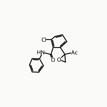 CC(=O)C1(c2cccc(Cl)c2C(=O)Nc2ccccc2)CO1